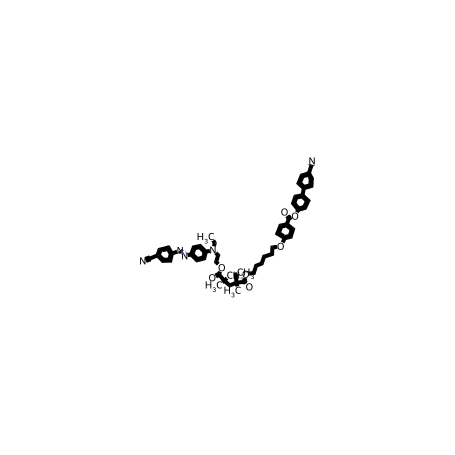 CCN(CCOC(=O)C(C)(C)CC(C)(CC)C(=O)OCCCCCCOc1ccc(C(=O)Oc2ccc(-c3ccc(C#N)cc3)cc2)cc1)c1ccc(/N=N/c2ccc(C#N)cc2)cc1